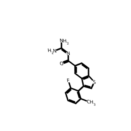 Cc1cccc(F)c1-c1csc2ccc(C(=O)N=C(N)N)cc12